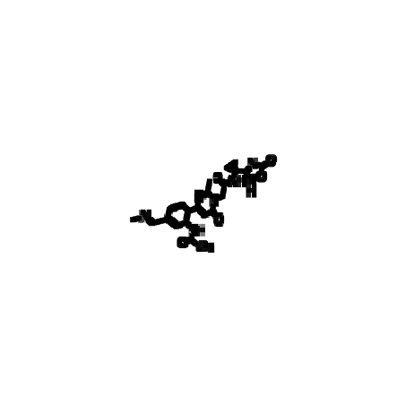 C/N=C/c1ccc(-c2cc(=O)n(CC(=O)NC3(c4nc(=O)o[nH]4)CC3)c(C)n2)c(NC(=O)C(C)(C)C)c1